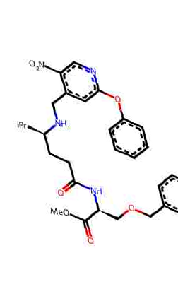 COC(=O)[C@H](COCc1ccccc1)NC(=O)CC[C@H](NCc1cc(Oc2ccccc2)ncc1[N+](=O)[O-])C(C)C